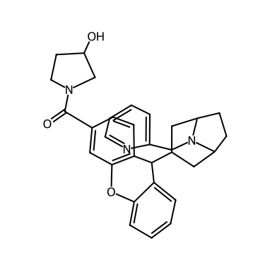 O=C(c1ccc2c(c1)Oc1ccccc1C2C1CC2CCC(C1)N2Cc1ccccn1)N1CCC(O)C1